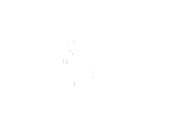 CCCn1nc(O)c(CC)c1-c1ccc(C)cc1